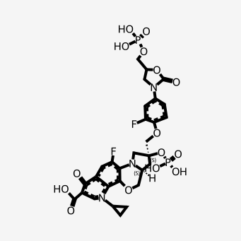 O=C(O)c1cn(C2CC2)c2c3c(c(F)cc2c1=O)N1C[C@@](COc2ccc(N4CC(COP(=O)(O)O)OC4=O)cc2F)(OP(=O)(O)O)C[C@H]1CO3